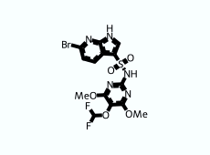 COc1nc(NS(=O)(=O)c2c[nH]c3nc(Br)ccc23)nc(OC)c1OC(F)F